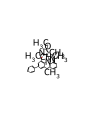 COc1cncc(-c2n3c4c(cccc4[n+]2C)C(C)c2cc(-c4ccccc4)cc(C(C)C)c2-3)c1C